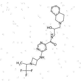 CC(N1CC(Nc2cc(C(=O)NCC(O)CN3CCc4ccccc4C3)ncn2)C1)C(F)(F)F